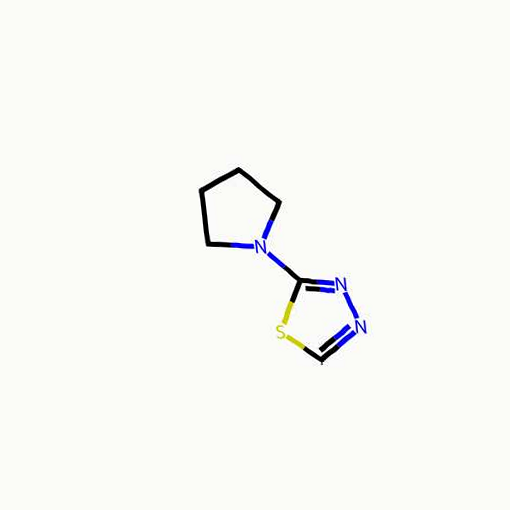 [c]1nnc(N2CCCC2)s1